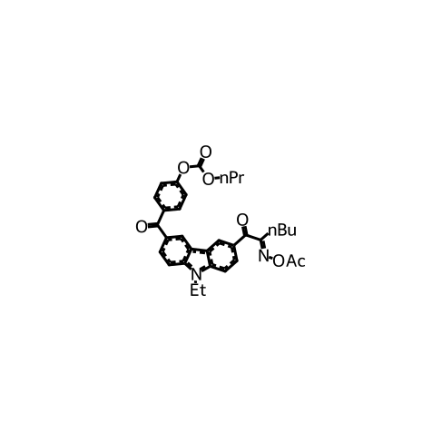 CCCCC(=NOC(C)=O)C(=O)c1ccc2c(c1)c1cc(C(=O)c3ccc(OC(=O)OCCC)cc3)ccc1n2CC